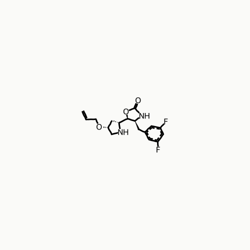 C=CCO[C@H]1CN[C@@H]([C@H]2OC(=O)N[C@H]2Cc2cc(F)cc(F)c2)C1